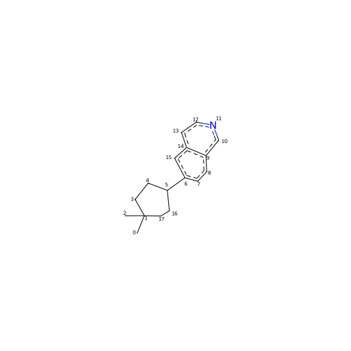 CC1(C)CCC(c2ccc3cnccc3c2)CC1